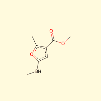 CBc1cc(C(=O)OC)c(C)o1